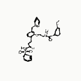 COc1cccc(C(=O)NCCOc2cc(Cn3cccn3)ccc2CCC(=O)NS(=O)(=O)c2ccccc2)c1